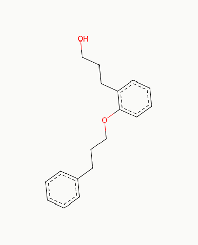 OCCCc1ccccc1OCCCc1ccccc1